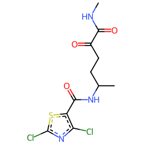 CNC(=O)C(=O)CCC(C)NC(=O)c1sc(Cl)nc1Cl